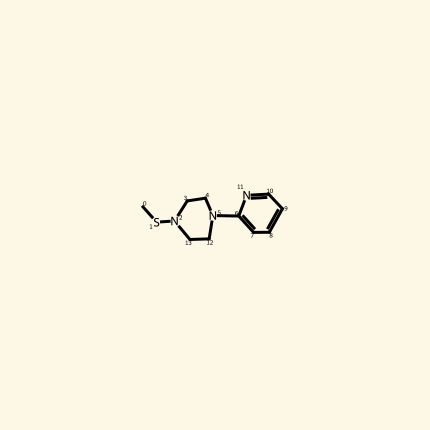 CSN1CCN(c2ccccn2)CC1